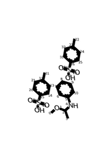 COC(C)Nc1ccccc1.Cc1ccc(S(=O)(=O)O)cc1.Cc1ccc(S(=O)(=O)O)cc1